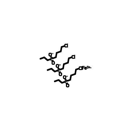 CCCP(=O)([O-])CCCCCl.CCCP(=O)([O-])CCCCCl.CCCP(=O)([O-])CCCCCl.[Fe+3]